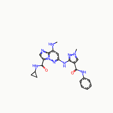 CNc1cc(Nc2nn(C)cc2C(=O)Nc2ccccc2)nn2c(C(=O)NC3CC3)cnc12